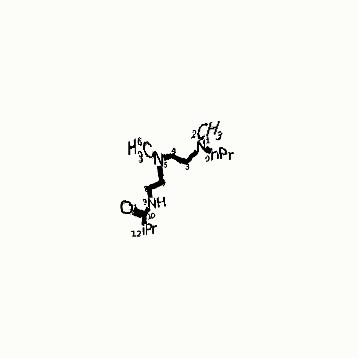 CCCN(C)CCN(C)CCNC(=O)C(C)C